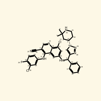 CC1(C)C[C@@H](n2cc(C(Nc3cc(Cl)c4ncc(C#N)c(Nc5ccc(F)c(Cl)c5)c4c3)c3ccccc3)nn2)CCN1